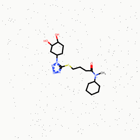 CN(C(=O)CCCSc1nnnn1C1CCC(O)C(O)C1)C1CCCCC1